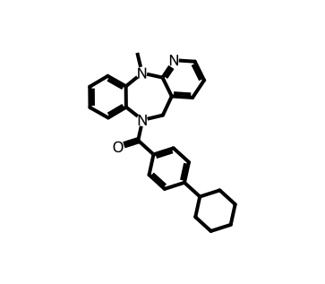 CN1c2ccccc2N(C(=O)c2ccc(C3CCCCC3)cc2)Cc2cccnc21